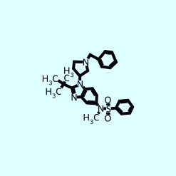 CN(c1ccc2c(c1)nc(C(C)(C)C)n2C1CCN(Cc2ccccc2)C1)S(=O)(=O)c1ccccc1